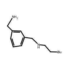 CCC(C)CCNCc1cccc(CN)c1